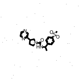 CC(NC(=O)N1CCC(c2cnccn2)C1)c1ccc(S(C)(=O)=O)cc1